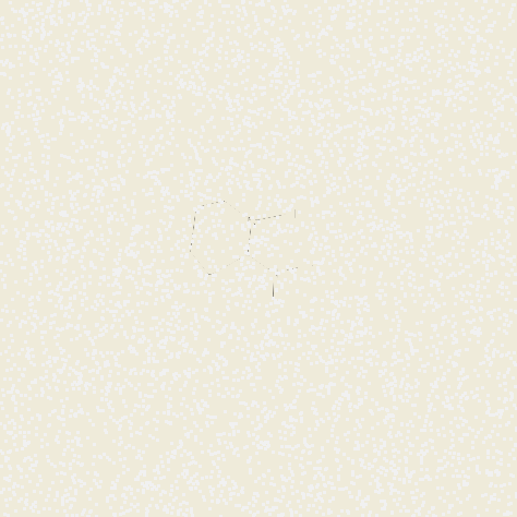 CN(C)C1CCCCN1C